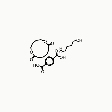 O=C(O)c1ccc(C(=O)O)cc1.O=C1CCCCC(=O)OCCCCO1.OCCCCO